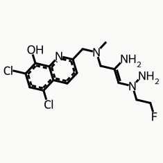 CN(C/C(N)=C/N(N)CCF)Cc1ccc2c(Cl)cc(Cl)c(O)c2n1